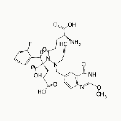 C#CCN(Cc1ccc2nc(OC)[nH]c(=O)c2c1)N(C(=O)CC[C@H](N)C(=O)O)[C@](CCC(=O)O)(C(=O)O)C(=O)c1ccccc1F